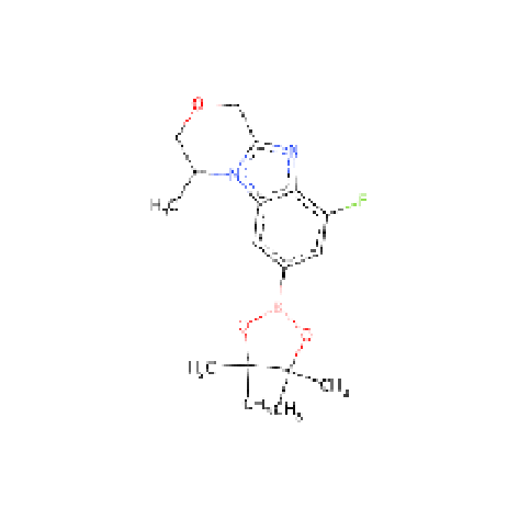 CC1COCc2nc3c(F)cc(B4OC(C)(C)C(C)(C)O4)cc3n21